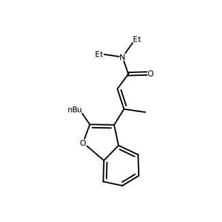 CCCCc1oc2ccccc2c1C(C)=CC(=O)N(CC)CC